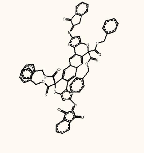 O=C1/C(=N/c2cc3c(s2)C2=CC4C=C5C(=CC4C=C2C(C(=O)OCc2ccccc2)(C(=O)OCc2ccccc2)O3)c2sc(N=c3c(=O)c4ccccc4c3=O)cc2OC5(C(=O)OCc2ccccc2)C(=O)OCc2ccccc2)Cc2ccccc21